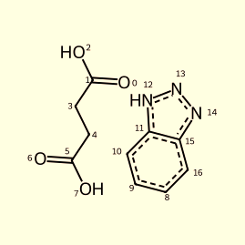 O=C(O)CCC(=O)O.c1ccc2[nH]nnc2c1